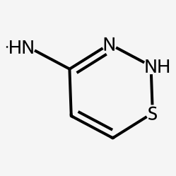 [NH]C1=NNSC=C1